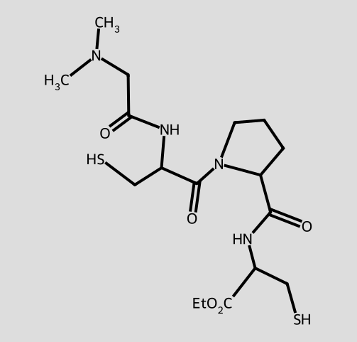 CCOC(=O)C(CS)NC(=O)C1CCCN1C(=O)C(CS)NC(=O)CN(C)C